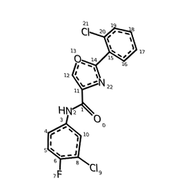 O=C(Nc1ccc(F)c(Cl)c1)c1coc(-c2ccccc2Cl)n1